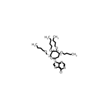 CCCCOC[C@H]1O[C@@H](n2cnc3c(Cl)ncnc32)C[C@H](OCCCC)[C@H](OCCCC)[C@@H]1OCCCC